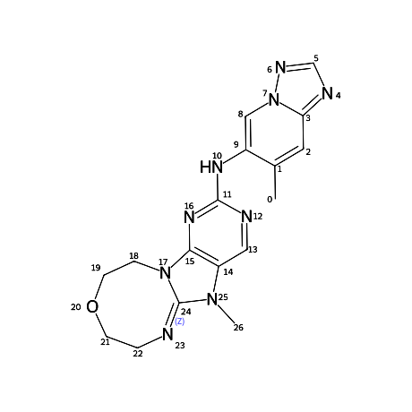 Cc1cc2ncnn2cc1Nc1ncc2c(n1)N1CCOCC/N=C\1N2C